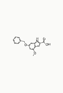 COc1cc(OCc2ccccc2)cc2[nH]c(C(=O)O)cc12